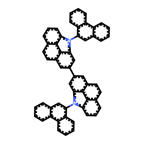 c1ccc2c(c1)cc(-n1c3cccc4ccc5cc(-c6cc7ccc8cccc9c8c7c(c6)n9-c6cc7ccccc7c7ccccc67)cc1c5c43)c1ccccc12